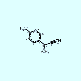 C#C[C@@H](C)c1cnc(C(F)(F)F)nc1